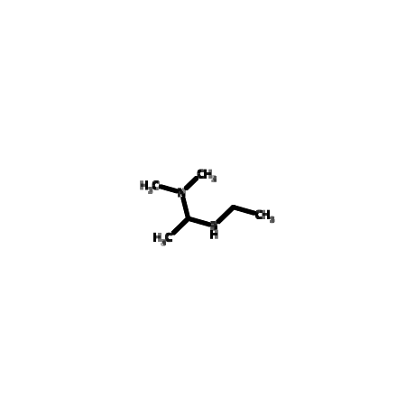 CCBC(C)N(C)C